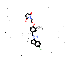 Cc1cc(CNC2CCc3cc(Cl)ccc32)ccc1OCCN1C(=O)CCC1=O